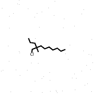 CCCCCCCC(C)(CCl)CCC